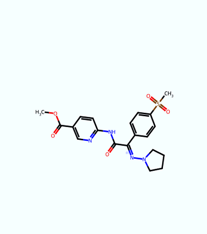 COC(=O)c1ccc(NC(=O)/C(=N/N2CCCC2)c2ccc(S(C)(=O)=O)cc2)nc1